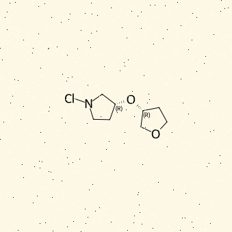 ClN1CC[C@@H](O[C@@H]2CCOC2)C1